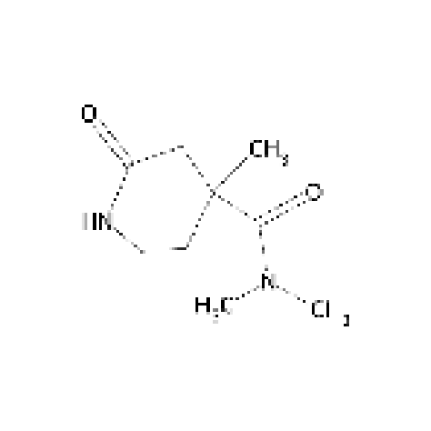 CN(C)C(=O)C1(C)CCNC(=O)C1